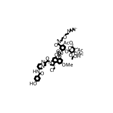 COc1ccc2c(OS(=O)(=O)Oc3cc(C(=O)N(C)CCOCCN=[N+]=[N-])ccc3O[C@@H]3O[C@H](COC(C)=O)[C@H](CC(C)=O)[C@H](OC(C)=O)[C@@H]3OC(C)O)cc3c(c2c1)[C@H](CCl)CN3C(=O)c1cn2cc(NC(=O)c3ccc(O)cc3)ccc2n1